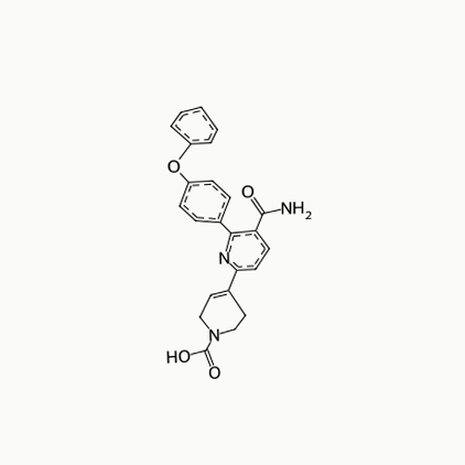 NC(=O)c1ccc(C2=CCN(C(=O)O)CC2)nc1-c1ccc(Oc2ccccc2)cc1